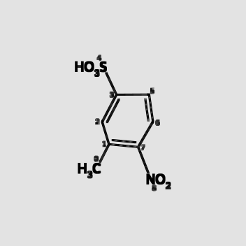 Cc1cc(S(=O)(=O)O)ccc1[N+](=O)[O-]